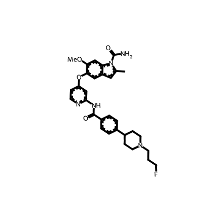 COc1cc2c(cc1Oc1ccnc(NC(=O)c3ccc(C4CCN(CCCF)CC4)cc3)c1)cc(C)n2C(N)=O